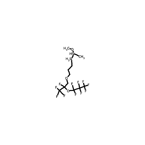 CO[SiH](C)[SiH2]CCCOCC(F)(OC(F)(F)C(F)(F)C(F)(F)F)C(F)(F)F